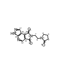 O=C1CCCN1CCN1C(=O)c2cnc3[nH]ncc3c2C1=O